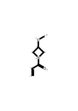 C=CC(=O)N1CC(OI)C1